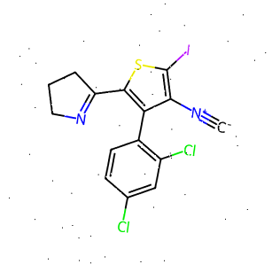 [C-]#[N+]c1c(I)sc(C2=NCCC2)c1-c1ccc(Cl)cc1Cl